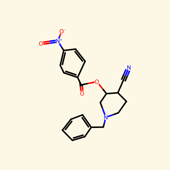 N#CC1CCN(Cc2ccccc2)CC1OC(=O)c1ccc([N+](=O)[O-])cc1